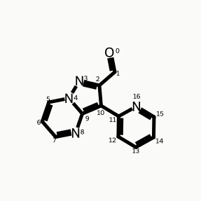 O=Cc1nn2cccnc2c1-c1ccccn1